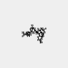 Cc1cnc2c(-c3ccc(F)cc3F)nc(C3CC(C)OC(c4cnn(C5CC5)c4)C3)cc2n1